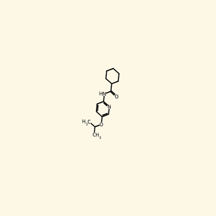 CC(C)Oc1ccc(NC(=O)C2CCCCC2)nc1